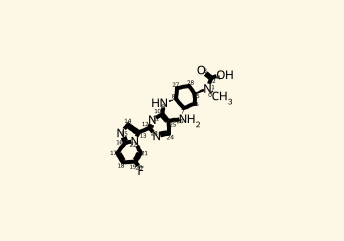 CN(C(=O)O)[C@H]1CC[C@H](Nc2nc(-c3cnc4ccc(F)cn34)ncc2N)CC1